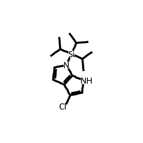 CC(C)[Si](C(C)C)(C(C)C)n1ccc2c(Cl)c[nH]c21